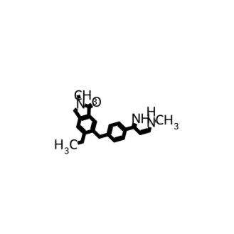 CCc1cc2c(cc1Cc1ccc(C(=N)/C=C\NC)cc1)C(=O)N(C)C2